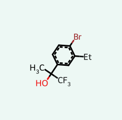 CCc1cc(C(C)(O)C(F)(F)F)ccc1Br